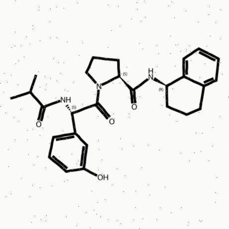 CC(C)C(=O)N[C@H](C(=O)N1CCC[C@H]1C(=O)N[C@@H]1CCCc2ccccc21)c1cccc(O)c1